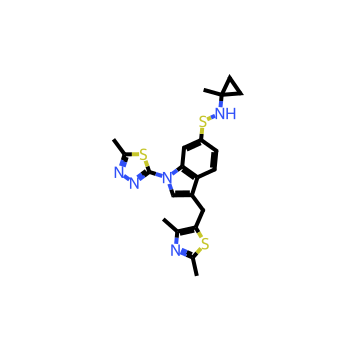 Cc1nnc(-n2cc(Cc3sc(C)nc3C)c3ccc(SNC4(C)CC4)cc32)s1